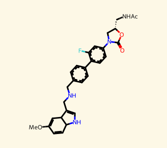 COC1=CC2C(CNCc3ccc(-c4ccc(N5C[C@H](CNC(C)=O)OC5=O)cc4F)cc3)=CNC2C=C1